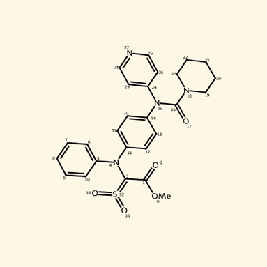 COC(=O)C(N(c1ccccc1)c1ccc(N(C(=O)N2CCCCC2)c2ccncc2)cc1)=S(=O)=O